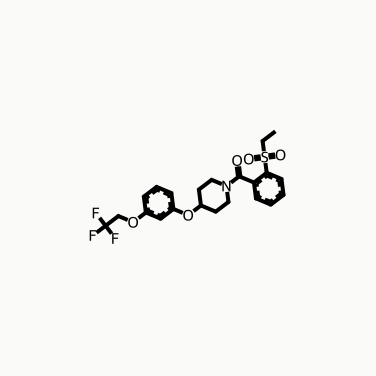 CCS(=O)(=O)c1ccccc1C(=O)N1CCC(Oc2cccc(OCC(F)(F)F)c2)CC1